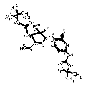 CC(C)(C)OC(=O)Nc1ccn(C[C@@H]2O[C@H](CO)[C@@H](OC(=O)OC(C)(C)C)C2(F)F)c(=O)n1